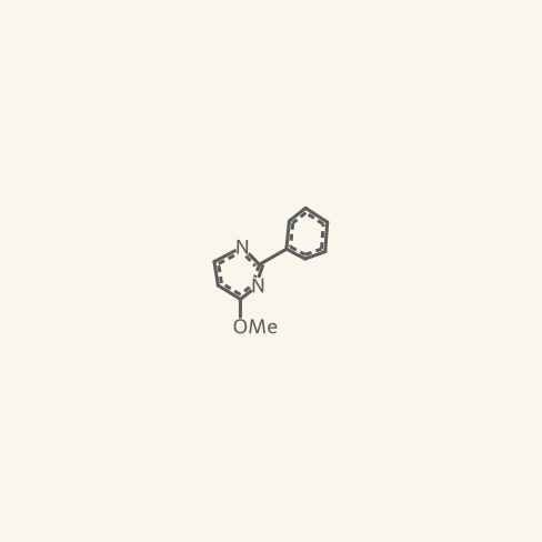 COc1ccnc(-c2ccccc2)n1